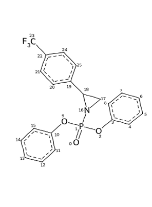 O=P(Oc1ccccc1)(Oc1ccccc1)N1CC1c1ccc(C(F)(F)F)cc1